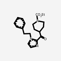 CCOC(=O)N1CCC(C(=O)c2nccn2CCc2ccccc2)CC1